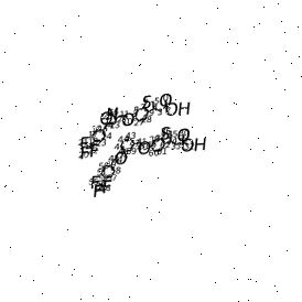 O=C(O)Cc1csc2cc(OCc3cc(-c4ccc(C(F)(F)F)cc4)on3)ccc12.O=C(O)Cc1csc2cc(OCc3cccc(OCc4ccc(C(F)(F)F)cc4)c3)ccc12